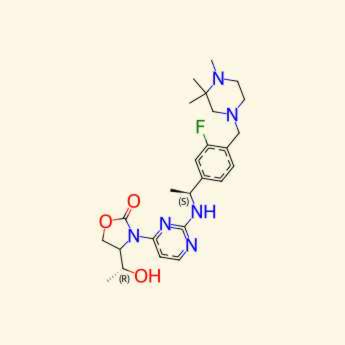 C[C@H](Nc1nccc(N2C(=O)OCC2[C@@H](C)O)n1)c1ccc(CN2CCN(C)C(C)(C)C2)c(F)c1